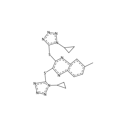 Cc1ccc2nc(Sc3nnnn3C3CC3)c(Sc3nnnn3C3CC3)nc2c1